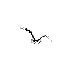 CCCCCCCCCCC(C(=O)O)C(C)CCCCCC